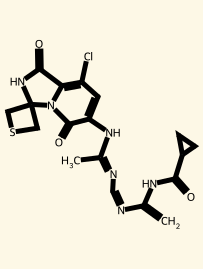 C=C(/N=C\N=C(/C)Nc1cc(Cl)c2n(c1=O)C1(CSC1)NC2=O)NC(=O)C1CC1